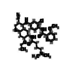 CCOC1CC2=NCC(C#N)C(Nc3ccc(NC(=O)c4ncccc4OC)c(Cl)c3)C2CC1NC(=O)CCCN(C)C